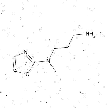 CN(CCCN)c1ncno1